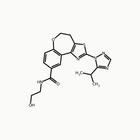 CC(C)c1ncnn1-c1nc2c(s1)CCOc1ccc(C(=O)NCCO)cc1-2